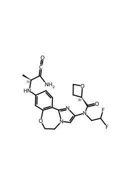 C[C@H](Nc1ccc2c(c1)OCCn1cc(N(CC(F)F)C(=O)[C@H]3CCO3)nc1-2)C(N)=C=O